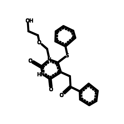 O=C(Cc1c(Sc2ccccc2)n(COCCO)c(=O)[nH]c1=O)c1ccccc1